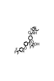 CCn1ncnc1NC(=O)N1CCC(=Cc2cccc(Oc3ccc(C(F)(F)F)cn3)c2)CC1.O=C(O)C(F)(F)F